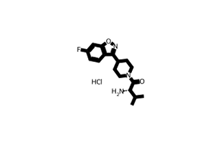 CC(C)[C@H](N)C(=O)N1CCC(c2noc3cc(F)ccc23)CC1.Cl